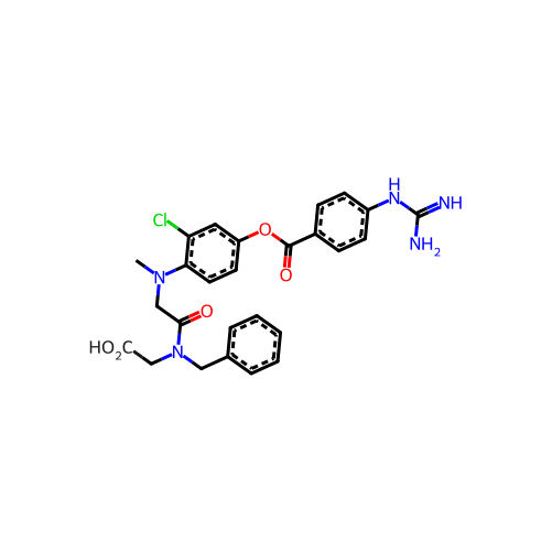 CN(CC(=O)N(CC(=O)O)Cc1ccccc1)c1ccc(OC(=O)c2ccc(NC(=N)N)cc2)cc1Cl